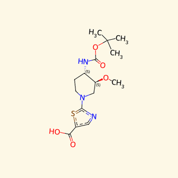 CO[C@H]1CN(c2ncc(C(=O)O)s2)CC[C@@H]1NC(=O)OC(C)(C)C